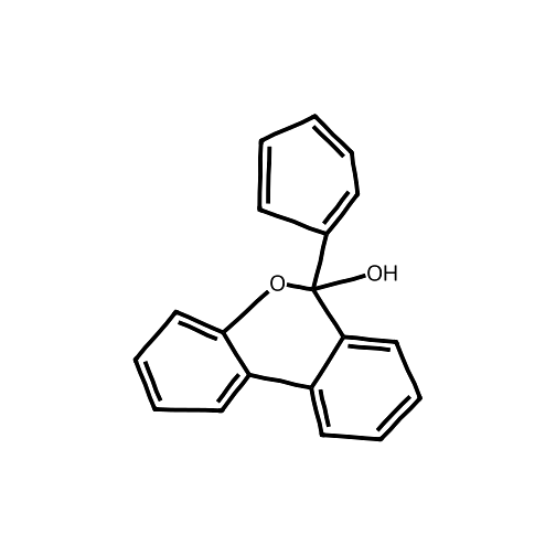 OC1(c2ccccc2)Oc2ccccc2-c2ccccc21